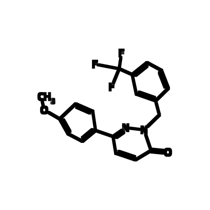 COc1ccc(-c2ccc(=O)n(Cc3cccc(C(F)(F)F)c3)n2)cc1